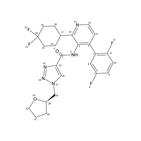 O=C(Nc1c(-c2cc(F)ccc2F)ccnc1C1CCC(F)(F)CC1)c1cn(C[C@H]2CCCO2)nn1